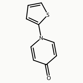 O=c1ccn(-c2cccs2)cc1